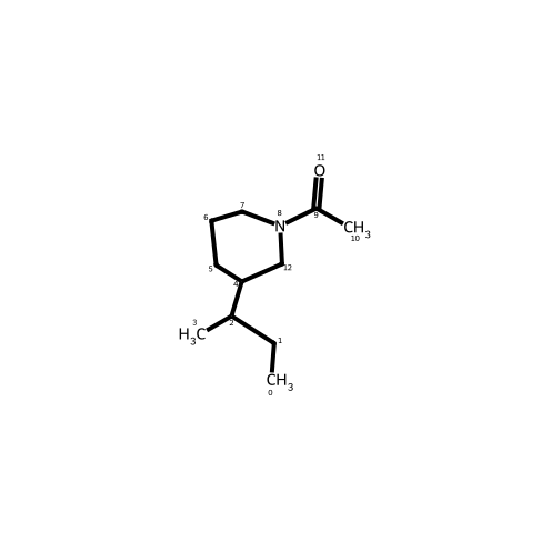 CCC(C)C1CCCN(C(C)=O)C1